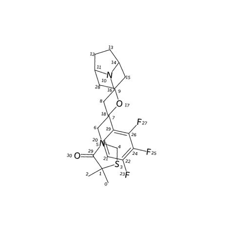 CC1(C)SCN(CCCCN2C3CCC2CC(OCc2ccc(F)c(F)c2F)C3)C1=O